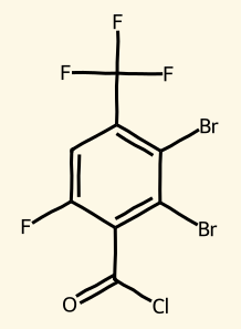 O=C(Cl)c1c(F)cc(C(F)(F)F)c(Br)c1Br